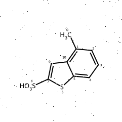 Cc1cccc2sc(S(=O)(=O)O)cc12